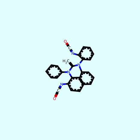 C=C(N(c1ccccc1)c1ccccc1N=C=O)N(c1ccccc1)c1ccccc1N=C=O